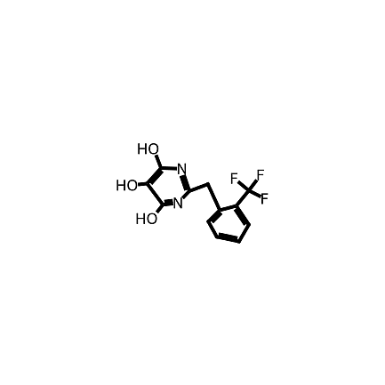 Oc1nc(Cc2ccccc2C(F)(F)F)nc(O)c1O